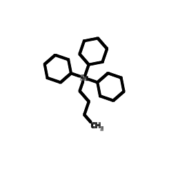 CCC[CH2][Sn]([CH]1CCCCC1)([CH]1CCCCC1)[CH]1CCCCC1